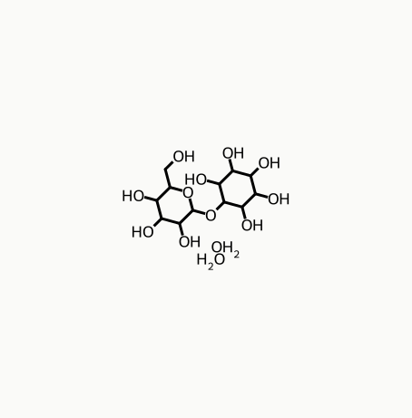 O.O.OCC1OC(OC2C(O)C(O)C(O)C(O)C2O)C(O)C(O)C1O